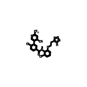 CN(C(=O)c1ccc(Cl)c(-c2cnc(C(F)(F)F)cc2C#N)c1)c1c(Cl)cccc1OCCc1nnn[nH]1